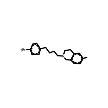 Cc1ccc2c(c1)CCN(CCCCc1ccc(C(C)(C)C)cc1)C2